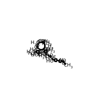 CCOC(=O)c1ccc(-c2ccc([C@@H](O)[C@@H](CF)NC(=O)CCN(C)[C@H]3C[C@@H](C)O[C@@H](O[C@@H]4[C@@H](C)C([C@H]5C[C@@](C)(OC)[C@@H](O)[C@H](C)O5)[C@@H](C)C(=O)O[C@H](I)[C@@](C)(O)[C@H](O)[C@@H](C)N(C)C[C@H](C)C[C@@]4(C)O)[C@@H]3O)cc2)cn1